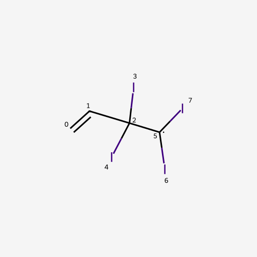 C=CC(I)(I)[C](I)I